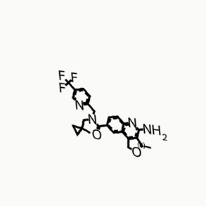 C[C@H]1OCc2c1c(N)nc1ccc(C(=O)N(Cc3ccc(C(F)(F)F)cn3)CC3(C)CC3)cc21